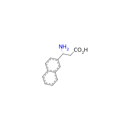 N[C@H](CC(=O)O)c1ccc2ccccc2c1